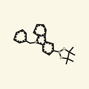 CC1(C)OB(c2ccc3c(c2)c2ccccc2n3Cc2ccccc2)OC1(C)C